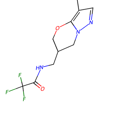 Cc1cnn2c1OCC(CNC(=O)C(F)(F)F)C2